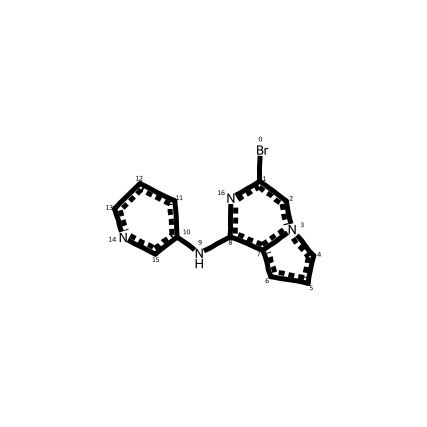 Brc1cn2cccc2c(Nc2cccnc2)n1